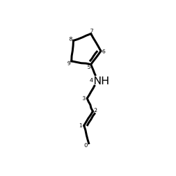 CC=CCNC1=CCCC1